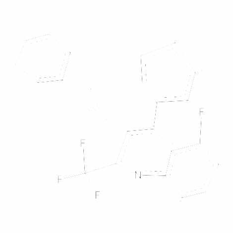 Fc1cccc2nc(C(F)(F)F)c(C#Cc3ccccc3)c(-c3ccccc3)c12